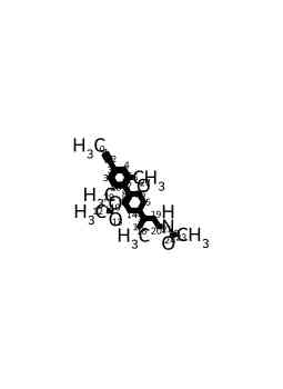 CC#Cc1cc(C)c(C2=C(OC(C)=O)CC(C(CC)CCNC(C)=O)CC2=O)c(C)c1